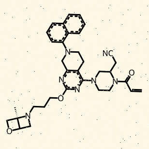 C=CC(=O)N1CCN(c2nc(OCCCN3CC4OC[C@]43C)nc3c2CCN(c2cccc4ccccc24)C3)CC1CC#N